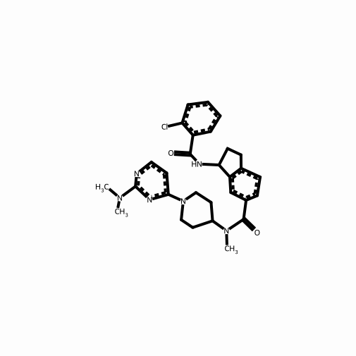 CN(C)c1nccc(N2CCC(N(C)C(=O)c3ccc4c(c3)C(NC(=O)c3ccccc3Cl)CC4)CC2)n1